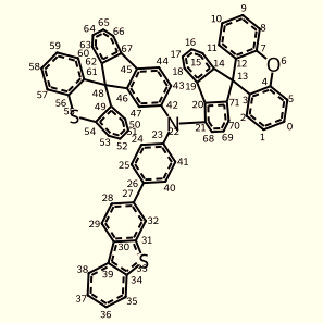 c1ccc2c(c1)Oc1ccccc1C21c2ccccc2-c2c(N(c3ccc(-c4ccc5c(c4)sc4ccccc45)cc3)c3ccc4c(c3)C3(c5ccccc5Sc5ccccc53)c3ccccc3-4)cccc21